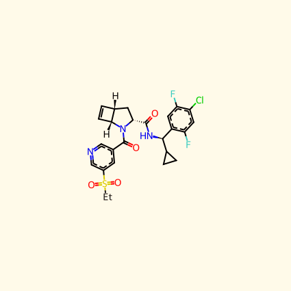 CCS(=O)(=O)c1cncc(C(=O)N2[C@@H](C(=O)N[C@@H](c3cc(F)c(Cl)cc3F)C3CC3)C[C@H]3C=C[C@H]32)c1